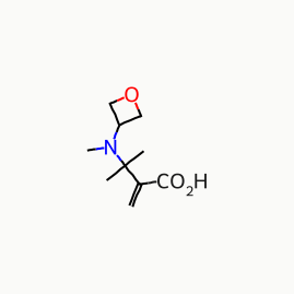 C=C(C(=O)O)C(C)(C)N(C)C1COC1